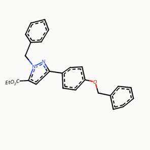 CCOC(=O)c1cc(-c2ccc(OCc3ccccc3)cc2)nn1Cc1ccccc1